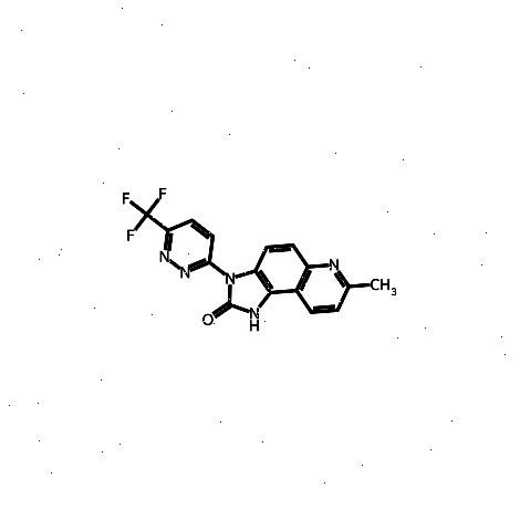 Cc1ccc2c(ccc3c2[nH]c(=O)n3-c2ccc(C(F)(F)F)nn2)n1